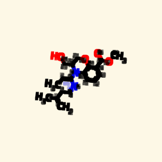 C=C(C)C/C=N\C(=C/C)N1c2cccc(C(=O)OC)c2OC[C@@H]1CO